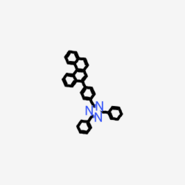 C1=CCCC(c2nc(C3=CCCC=C3)nc(-c3ccc(-c4cc5ccc6ccccc6c5c5ccccc45)cc3)n2)=C1